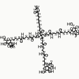 CC(=O)N[C@@H]1[C@@H](O)[C@@H](O)[C@@H](CO)O[C@@H]1CCCCCC(=O)NCCCNC(=O)CCOCC(COCCC(=O)NCCCNC(=O)CCCCC[C@H]1O[C@H](CO)[C@H](O)[C@H](O)[C@H]1NC(C)=O)(COCCC(=O)NCCCNC(=O)CCCCC[C@H]1O[C@H](CO)[C@H](O)[C@H](O)[C@H]1NC(C)=O)NC(=O)CCCCCCCCCCC(=O)OC(C)(C)C